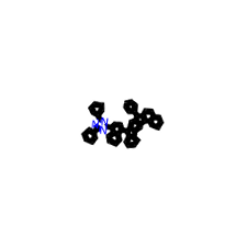 c1ccc(-c2nc(-c3ccccc3)nc(-c3ccc(C4c5ccccc5-c5cc6c(cc54)C(c4ccccc4)c4ccc5ccccc5c4-6)c4ccccc34)n2)cc1